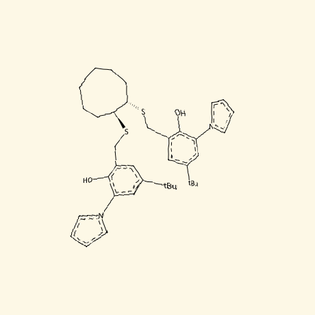 CC(C)(C)c1cc(CS[C@H]2CCCCCC[C@@H]2SCc2cc(C(C)(C)C)cc(-n3cccc3)c2O)c(O)c(-n2cccc2)c1